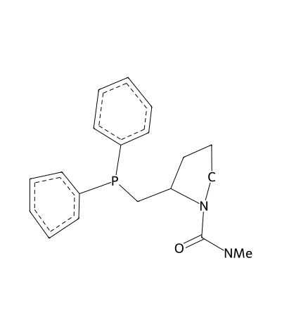 CNC(=O)N1CCCC1CP(c1ccccc1)c1ccccc1